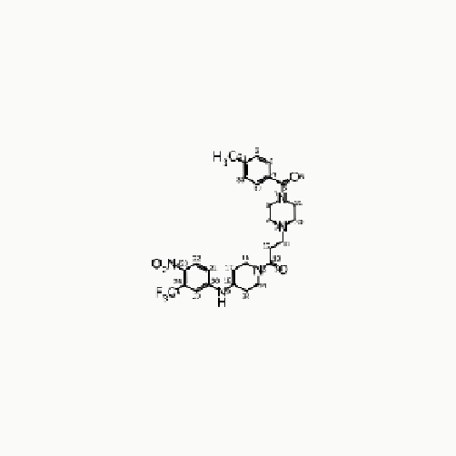 Cc1ccc(C(=O)N2CCN(CCC(=O)N3CCC(Nc4ccc([N+](=O)[O-])c(C(F)(F)F)c4)CC3)CC2)cc1